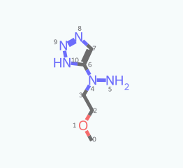 COCCN(N)c1cnn[nH]1